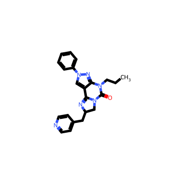 CCCN1C(=O)N2CC(Cc3ccncc3)N=C2c2cn(-c3ccccc3)nc21